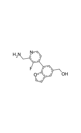 NCc1nccc(-c2cc(CO)cc3ccoc23)c1F